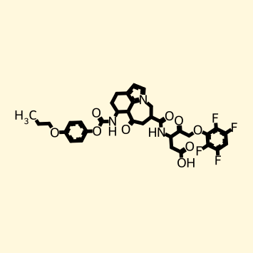 CCCOc1ccc(OC(=O)NC2CCc3ccn4c3C2C(=O)CC(C(=O)NC(CC(=O)O)C(=O)COc2c(F)c(F)cc(F)c2F)C4)cc1